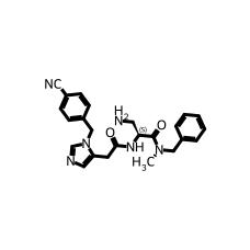 CN(Cc1ccccc1)C(=O)[C@H](CN)NC(=O)Cc1cncn1Cc1ccc(C#N)cc1